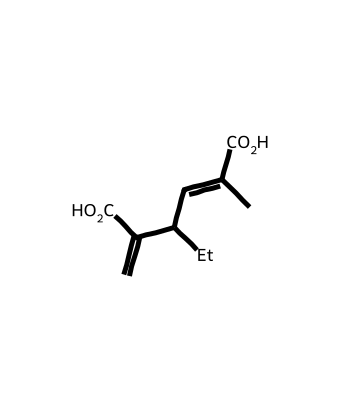 C=C(C(=O)O)C(C=C(C)C(=O)O)CC